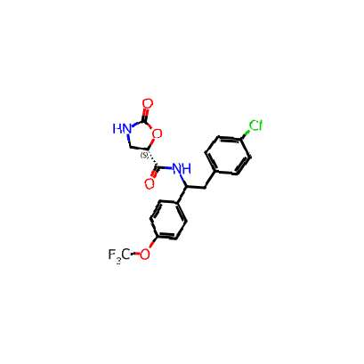 O=C1NC[C@@H](C(=O)NC(Cc2ccc(Cl)cc2)c2ccc(OC(F)(F)F)cc2)O1